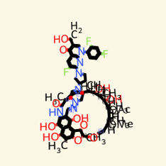 C=C(O)c1cn(-c2ccc(F)cc2F)c2nc(N3CCC(N4CCN(/N=C/c5c6c(O)c7c(O)c(C)c8c(c7c5O)C(=O)[C@@](C)(O/C=C/[C@H](OC)[C@@H](C)[C@@H](OC(C)=O)[C@H](C)[C@H](O)[C@H](C)[C@@H](O)[C@@H](C)/C=C/C=C(/C)C(=O)N6)O8)CC4)C3)c(F)cc2c1=O